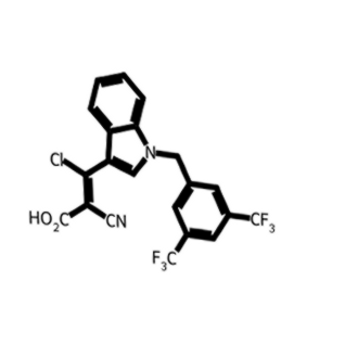 N#C/C(C(=O)O)=C(/Cl)c1cn(Cc2cc(C(F)(F)F)cc(C(F)(F)F)c2)c2ccccc12